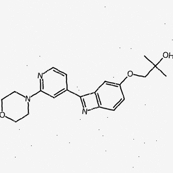 CC(C)(O)COc1ccc2c(c1)C(c1ccnc(N3CCOCC3)c1)=N2